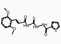 COc1cccc(OC)c1/C=C/C(=O)NC(=S)NNC(=O)c1cccs1